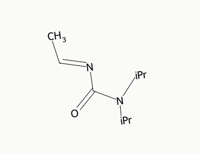 CC=NC(=O)N(C(C)C)C(C)C